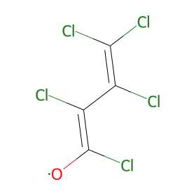 [O]C(Cl)=C(Cl)C(Cl)=C(Cl)Cl